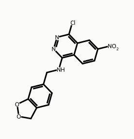 O=[N+]([O-])c1ccc2c(NCc3ccc4c(c3)OOC4)nnc(Cl)c2c1